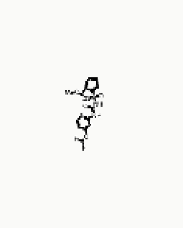 COC(=O)c1ccccc1S(=O)(=O)NC(=O)Nc1nccc(OC(F)F)n1